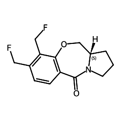 O=C1c2ccc(CF)c(CF)c2OC[C@@H]2CCCN12